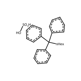 CCCCCCC(c1ccccc1)(c1ccccc1)c1ccccc1.O=S(=O)(O)O